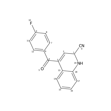 N#CC1C=C(C(=O)c2ccc(F)cc2)c2ccccc2N1